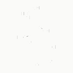 CC1(C)CCC[C@]2(C)C3=CC4=C(Cl)C(=O)C(=O)C=C4O[C@]3(C)CC[C@@H]12